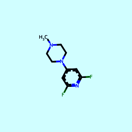 CN1CCN(c2cc(F)nc(F)c2)CC1